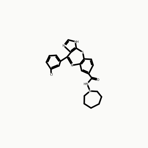 O=C(NN1CCCCCC1)c1ccc2c(c1)N=C(c1cccc(Cl)c1)c1nc[nH]c1S2